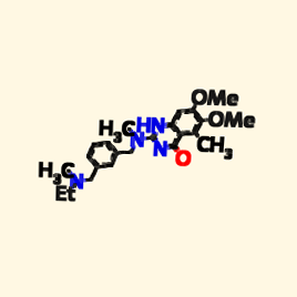 CCN(C)Cc1cccc(CN(C)c2nc(=O)c3c(C)c(OC)c(OC)cc3[nH]2)c1